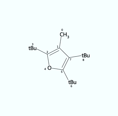 Cc1c(C(C)(C)C)oc(C(C)(C)C)c1C(C)(C)C